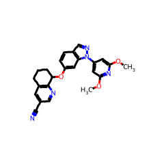 COc1cc(-n2ncc3ccc(OC4CCCc5cc(C#N)cnc54)cc32)cc(OC)n1